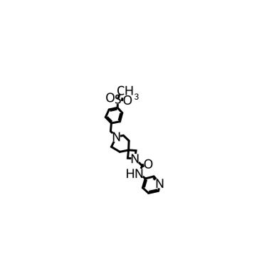 CS(=O)(=O)c1ccc(CN2CCC3(CC2)CN(C(=O)Nc2cccnc2)C3)cc1